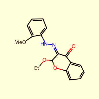 CCOC1Oc2ccccc2C(=O)/C1=N/Nc1ccccc1OC